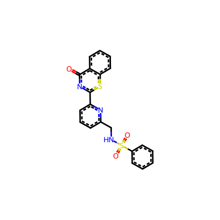 O=c1nc(-c2cccc(CNS(=O)(=O)c3ccccc3)n2)sc2ccccc12